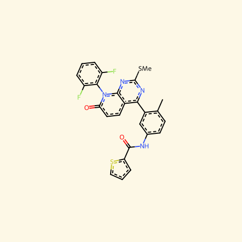 CSc1nc(-c2cc(NC(=O)c3cccs3)ccc2C)c2ccc(=O)n(-c3c(F)cccc3F)c2n1